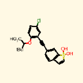 CC(C)(C)C(Oc1ccc(Cl)cc1C#Cc1ccc2c(c1)S(O)(O)C=C2)C(=O)O